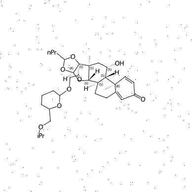 CCCC1O[C@@H]2C[C@H]3[C@@H]4CCC5=CC(=O)C=C[C@]5(C)[C@H]4[C@@H](O)C[C@]3(C)[C@]2(C(=O)COC2CCCC(COC(C)C)O2)O1